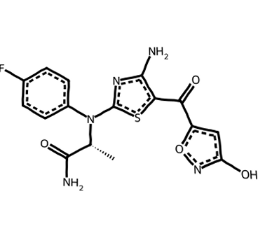 C[C@H](C(N)=O)N(c1ccc(F)cc1)c1nc(N)c(C(=O)c2cc(O)no2)s1